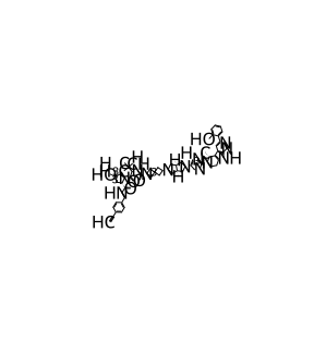 C#Cc1ccc(CNC(=O)[C@@H]2C[C@@H](O)CN2C(=O)[C@@H](NC(=O)N2CC3(CC(N4C[C@H]5CN(c6cnc(N7CCc8[nH]c9nnc(-c%10ccccc%10O)cc9c8[C@H]7C)nc6)C[C@H]5C4)C3)C2)C(C)(C)C)cc1